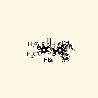 Br.CCOc1cc2c(c(F)c1OCC)C(=N)N(CC(=O)c1cc(N3CCCOC3)c(OC)c(C(C)(C)C)c1)C2